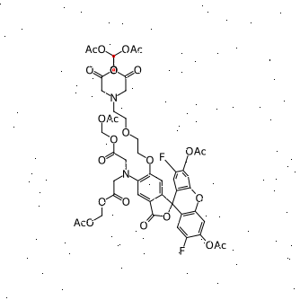 CC(=O)OCOC(=O)CN(CCOCCOc1cc2c(cc1N(CC(=O)OCOC(C)=O)CC(=O)OCOC(C)=O)C(=O)OC21c2cc(F)c(OC(C)=O)cc2Oc2cc(OC(C)=O)c(F)cc21)CC(=O)OCOC(C)=O